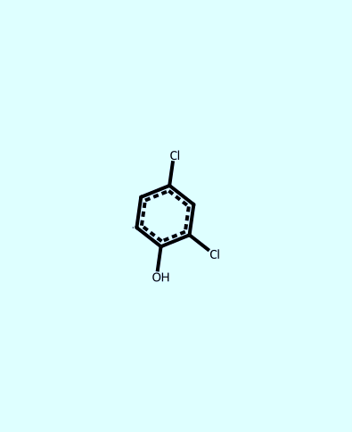 Oc1[c]cc(Cl)cc1Cl